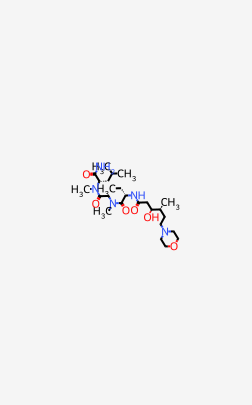 CC[C@H](NC(=O)C[C@H](O)[C@H](C)CCN1CCOCC1)C(=O)N(C)CC(=O)N(C)[C@@H](CC(C)C)C(N)=O